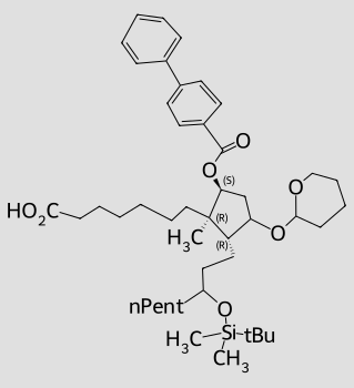 CCCCCC(CC[C@H]1C(OC2CCCCO2)C[C@H](OC(=O)c2ccc(-c3ccccc3)cc2)[C@]1(C)CCCCCCC(=O)O)O[Si](C)(C)C(C)(C)C